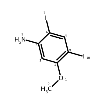 COc1cc(N)c(I)cc1I